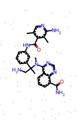 Cc1cnc(N)c(C)c1C(=O)Nc1cccc(C(C)(CN)N(C)c2ncnc3c(C(N)=O)cccc23)c1